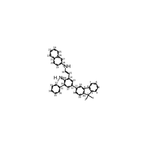 CC1(C)c2ccccc2-c2cc(-c3cc(/C=C/Nc4ccc5ccccc5c4)c(N)c(-c4ccccc4)c3)ccc21